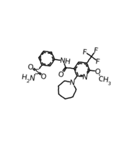 COc1nc(N2CCCCCC2)c(C(=O)Nc2cccc(S(N)(=O)=O)c2)cc1C(F)(F)F